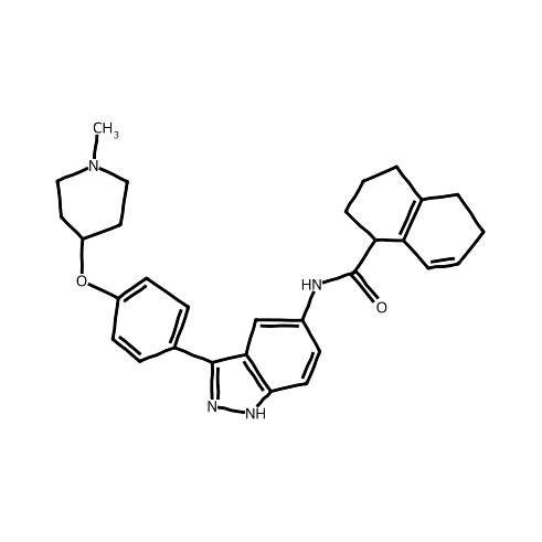 CN1CCC(Oc2ccc(-c3n[nH]c4ccc(NC(=O)C5CCCC6=C5C=CCC6)cc34)cc2)CC1